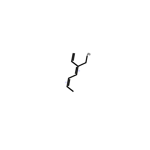 C=C/C(=C\C=C/C)CC(C)C